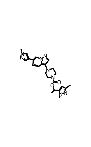 Cc1cc(C(C)OC(=O)N2CCN(c3cnn4cc(-c5cnn(C)c5)ccc34)CC2)n(C)n1